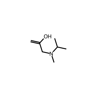 C=C(O)CN(C)C(C)C